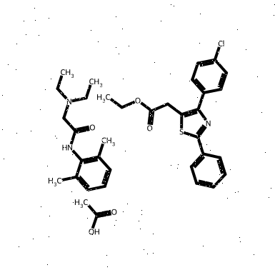 CC(=O)O.CCN(CC)CC(=O)Nc1c(C)cccc1C.CCOC(=O)Cc1sc(-c2ccccc2)nc1-c1ccc(Cl)cc1